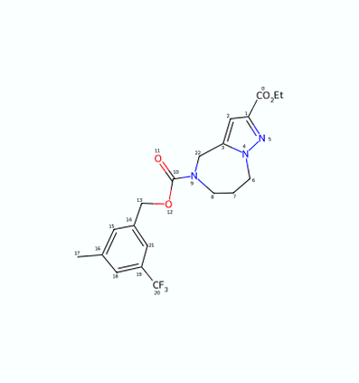 CCOC(=O)c1cc2n(n1)CCCN(C(=O)OCc1cc(C)cc(C(F)(F)F)c1)C2